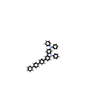 C1=CC(N(c2ccccc2)c2ccc3c4cc(C5=CC=C(C6C=CC(C7CC=CCC7)=CC6)CC5)ccc4n(-c4ccccc4)c3c2)=CCC1